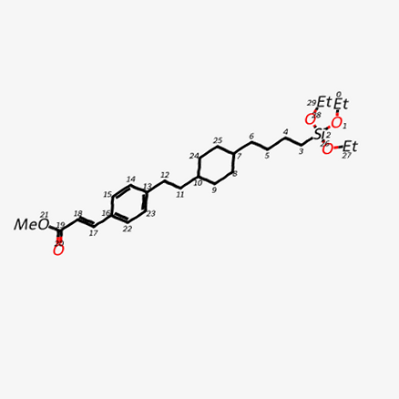 CCO[Si](CCCCC1CCC(CCc2ccc(/C=C/C(=O)OC)cc2)CC1)(OCC)OCC